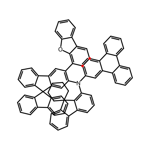 c1ccc2c(c1)-c1cccc(N(c3ccc4c5ccccc5c5ccccc5c4c3)c3cc4c(cc3-c3cccc5c3oc3ccccc35)-c3ccccc3C43c4ccccc4-c4ccccc43)c1C21CCCCC1